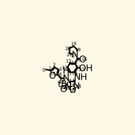 Cc1ccc([C@H](Nc2c(Nc3cccc(C(=O)N4CCCC4)c3O)no[n+]2[O-])C(C)(C)C)o1